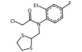 CCc1cc(F)ccc1N(CC1SCCS1)C(=O)CCl